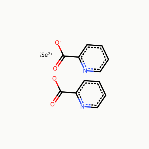 O=C([O-])c1ccccn1.O=C([O-])c1ccccn1.[Se+2]